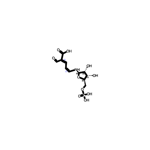 O=C/C(=C\C=C/N[C@@H]1O[C@H](COP(=O)(O)O)[C@@H](O)[C@H]1O)C(=O)O